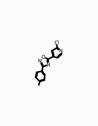 Cc1ccc(-c2noc(-c3ccnc(Cl)c3)n2)cc1